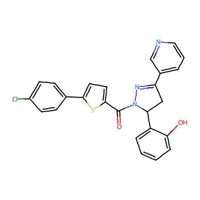 O=C(c1ccc(-c2ccc(Cl)cc2)s1)N1N=C(c2cccnc2)CC1c1ccccc1O